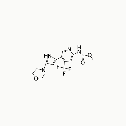 COC(=O)Nc1cc(C(F)(F)F)c(-c2cc(N3CCOCC3)c[nH]2)cn1